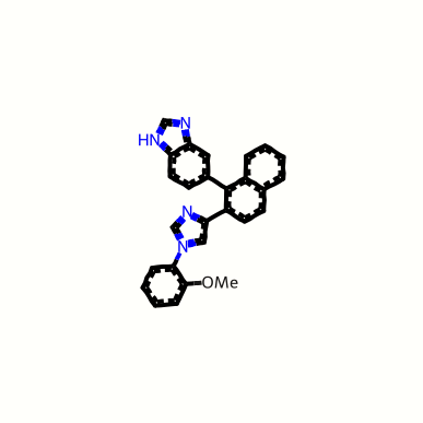 COc1ccccc1-n1cnc(-c2ccc3ccccc3c2-c2ccc3[nH]cnc3c2)c1